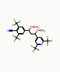 COC(CC(OC)c1cc(C(F)(F)F)c(C#N)c(C(F)(F)F)c1)c1cc(C(F)(F)F)nc(C(F)(F)F)c1